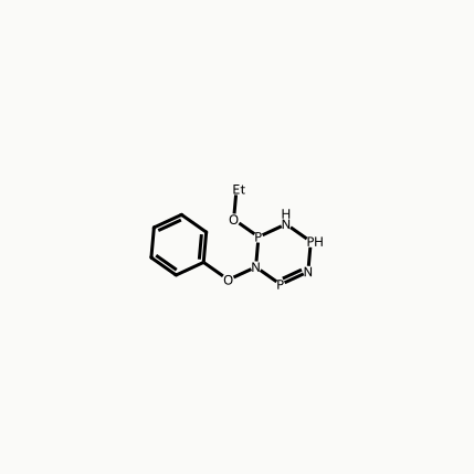 CCOp1[nH][pH]npn1Oc1ccccc1